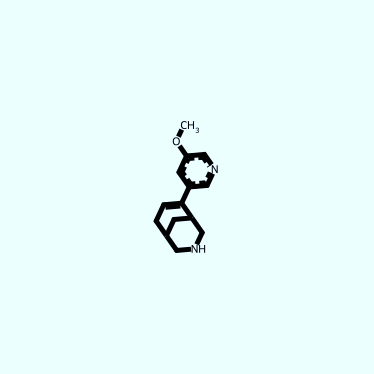 COc1cncc(C2=CCC3CNCC2C3)c1